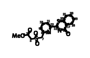 COC(=O)CS(=O)(=O)Cc1cccc(-c2nc(=O)c3ccccc3s2)n1